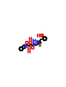 O=C(NCc1nc(Cc2ccccc2O)cs1)[C@H](O)[C@@H](O)C(=O)N1Cc2ccccc2C1